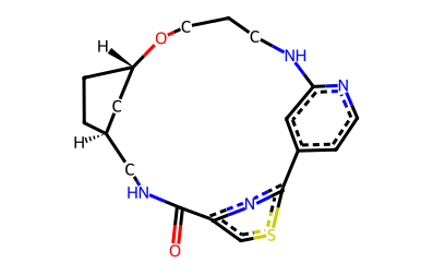 O=C1NC[C@H]2CC[C@@H](C2)OCCCNc2cc(ccn2)-c2nc1cs2